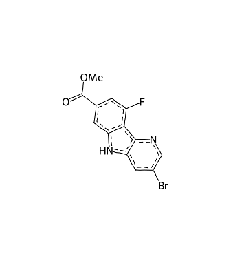 COC(=O)c1cc(F)c2c(c1)[nH]c1cc(Br)cnc12